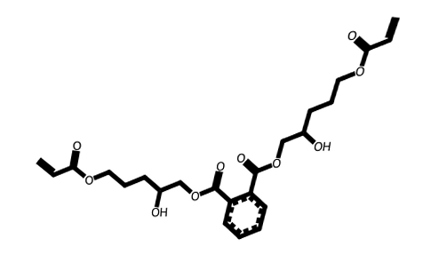 C=CC(=O)OCCCC(O)COC(=O)c1ccccc1C(=O)OCC(O)CCCOC(=O)C=C